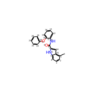 Cc1cccc2[nH]c(C(=O)Nc3ccccc3Oc3ccccc3)cc12